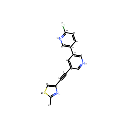 Cc1nc(C#Cc2cncc(-c3ccc(Cl)nc3)c2)cs1